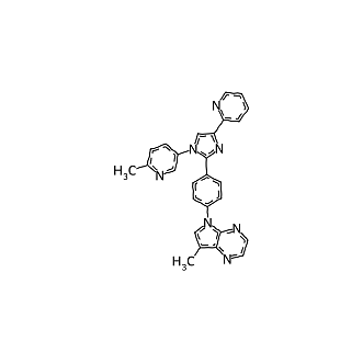 Cc1ccc(-n2cc(-c3ccccn3)nc2-c2ccc(-n3cc(C)c4nccnc43)cc2)cn1